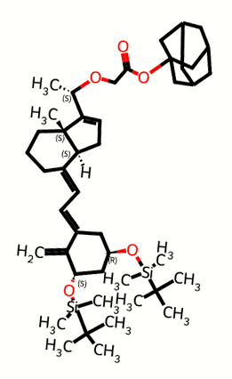 C=C1C(=CC=C2CCC[C@]3(C)C([C@H](C)OCC(=O)OC45CC6CC(CC(C6)C4)C5)=CC[C@@H]23)C[C@@H](O[Si](C)(C)C(C)(C)C)C[C@@H]1O[Si](C)(C)C(C)(C)C